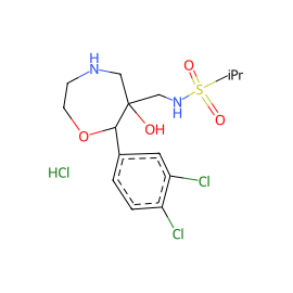 CC(C)S(=O)(=O)NCC1(O)CNCCOC1c1ccc(Cl)c(Cl)c1.Cl